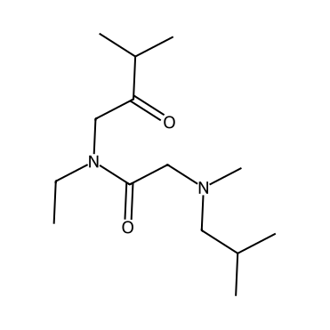 CCN(CC(=O)C(C)C)C(=O)CN(C)CC(C)C